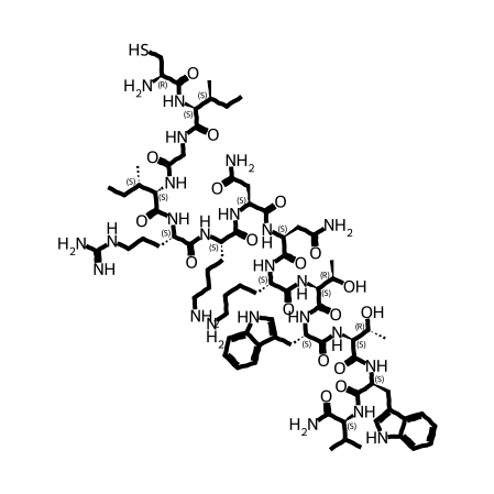 CC[C@H](C)[C@H](NC(=O)CNC(=O)[C@@H](NC(=O)[C@@H](N)CS)[C@@H](C)CC)C(=O)N[C@@H](CCCNC(=N)N)C(=O)N[C@@H](CCCCN)C(=O)N[C@@H](CC(N)=O)C(=O)N[C@@H](CC(N)=O)C(=O)N[C@@H](CCCCN)C(=O)N[C@H](C(=O)N[C@@H](Cc1c[nH]c2ccccc12)C(=O)N[C@H](C(=O)N[C@@H](Cc1c[nH]c2ccccc12)C(=O)N[C@H](C(N)=O)C(C)C)[C@@H](C)O)[C@@H](C)O